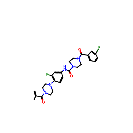 C=C(C)C(=O)N1CCN(c2ccc(NC(=O)N3CCN(C(=O)c4cccc(F)c4)CC3)cc2F)CC1